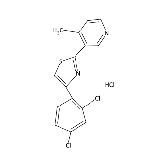 Cc1ccncc1-c1nc(-c2ccc(Cl)cc2Cl)cs1.Cl